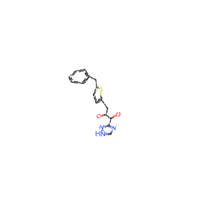 O=C(Cc1ccc(Cc2ccccc2)s1)C(=O)c1nc[nH]n1